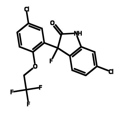 O=C1Nc2cc(Cl)ccc2C1(F)c1cc(Cl)ccc1OCC(F)(F)F